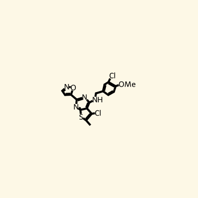 COc1ccc(CNc2nc(-c3ccno3)nc3sc(C)c(Cl)c23)cc1Cl